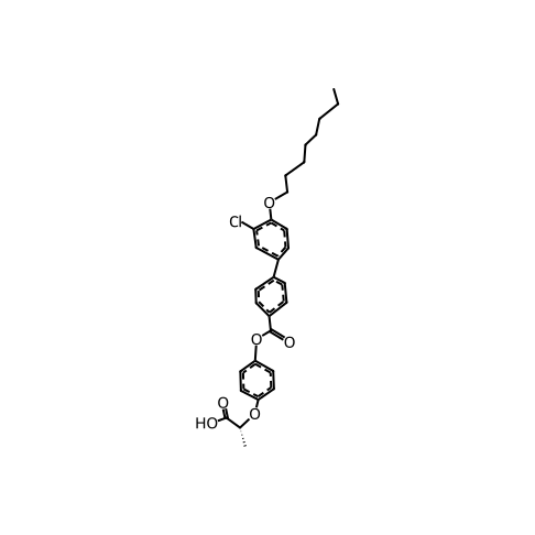 CCCCCCCCOc1ccc(-c2ccc(C(=O)Oc3ccc(O[C@H](C)C(=O)O)cc3)cc2)cc1Cl